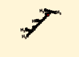 CCCCCC(CCCCC)CCOC(=O)CCCCCCCN(CCCO)CCCCCCCC(=O)OCCC(CCCCC)CCCCC